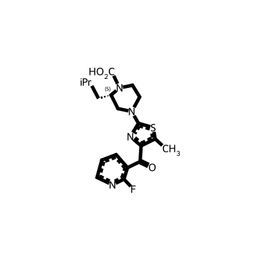 Cc1sc(N2CCN(C(=O)O)[C@@H](CC(C)C)C2)nc1C(=O)c1cccnc1F